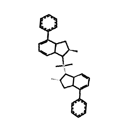 C[C@@H]1CC2C(c3ccccc3)=CC=CC2C1S(C)(C)[C@@H]1C2C=CC=C(c3ccccc3)C2C[C@@H]1C